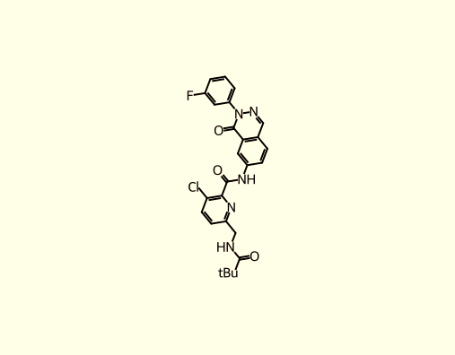 CC(C)(C)C(=O)NCc1ccc(Cl)c(C(=O)Nc2ccc3cnn(-c4cccc(F)c4)c(=O)c3c2)n1